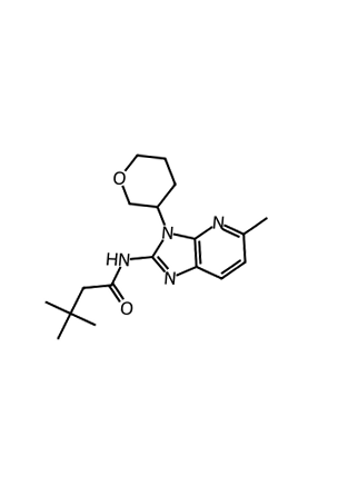 Cc1ccc2nc(NC(=O)CC(C)(C)C)n(C3CCCOC3)c2n1